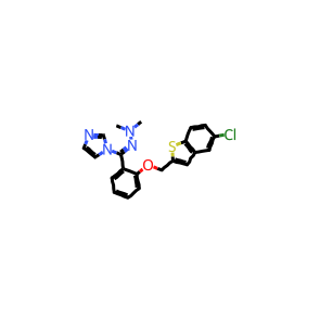 CN(C)N=C(c1ccccc1OCc1cc2cc(Cl)ccc2s1)n1ccnc1